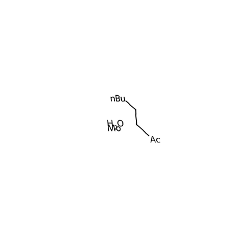 CCCCCCC(C)=O.O.[Mo]